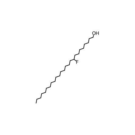 CCCCCCCCCCCCCCCCC(F)CCCCCCCCO